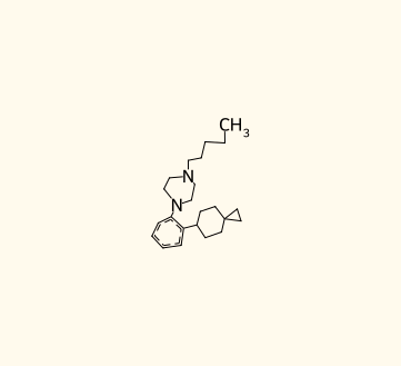 CCCCCN1CCN(c2ccccc2C2CCC3(CC2)CC3)CC1